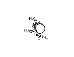 CCOC(=O)[C@@]12C[C@H]1/C=C\CCCCCC[C@H](NC(=O)OP)C(=O)N1C[C@H](OC)C[C@H]1C(=O)N2